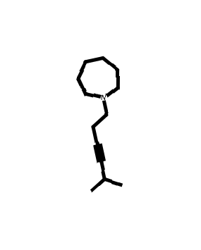 CC(C)C#CCCN1CCCCCC1